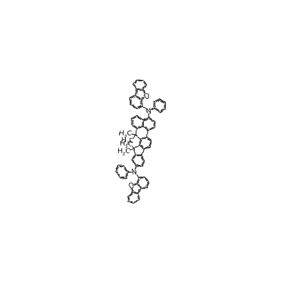 CC1(C)c2cc(N(c3ccccc3)c3cccc4c3oc3ccccc34)ccc2-c2ccc3c(c21)C(C)(C)c1cccc2c(N(c4ccccc4)c4cccc5c4oc4ccccc45)ccc-3c12